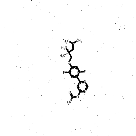 CC(C)C[C@](C)(N)COc1cc(F)c(-c2cc(OC(N)=O)ncn2)cc1F